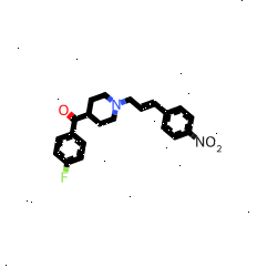 O=C(c1ccc(F)cc1)C1CCN(CC=Cc2ccc([N+](=O)[O-])cc2)CC1